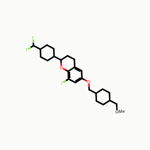 COCC1CCC(COc2cc(F)c3c(c2)CCC(C2CCC(C(F)F)CC2)O3)CC1